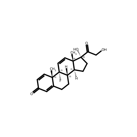 C[C@]12C=CC(=O)C=C1CC[C@H]1[C@@H]3CC[C@](O)(C(=O)CO)[C@@]3(C)C=C[C@@]12F